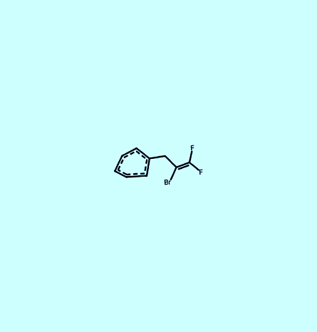 FC(F)=C(Br)Cc1ccccc1